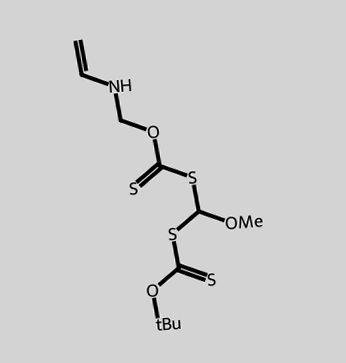 C=CNCOC(=S)SC(OC)SC(=S)OC(C)(C)C